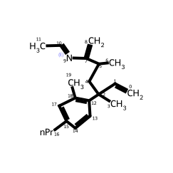 C=CC(C)(CC(C)C(=C)/N=C/C)c1ccc(CCC)cc1C